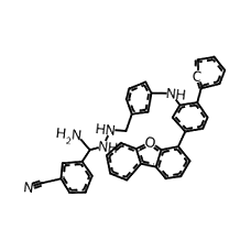 N#Cc1cccc(C(N)NNCc2cccc(Nc3cc(-c4cccc5c4oc4ccccc45)ccc3-c3ccccc3)c2)c1